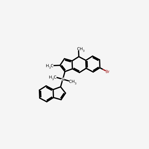 CC1=C([Si](C)(C)C2C=Cc3ccccc32)C2=Cc3cc(Br)ccc3C(C)C2=C1